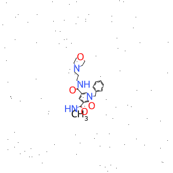 CNC(=O)c1cc(C(=O)NCCCN2CCOCC2)cn(Cc2ccccc2)c1=O